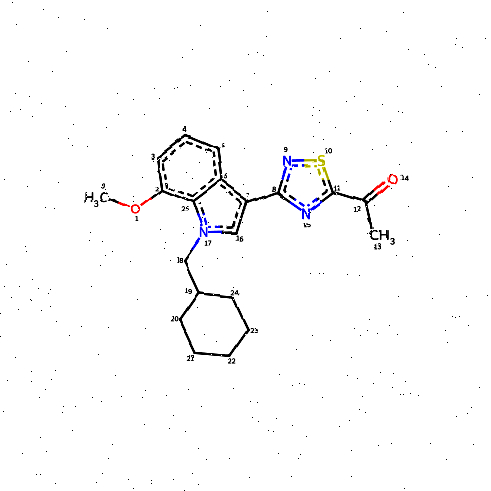 COc1cccc2c(-c3nsc(C(C)=O)n3)cn(CC3CCCCC3)c12